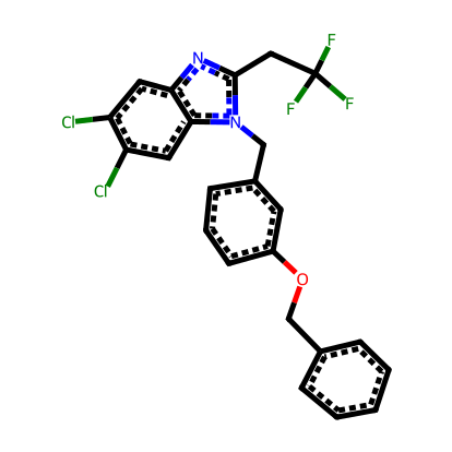 FC(F)(F)Cc1nc2cc(Cl)c(Cl)cc2n1Cc1cccc(OCc2ccccc2)c1